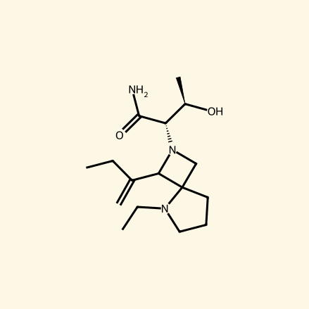 C=C(CC)C1N([C@H](C(N)=O)[C@@H](C)O)CC12CCCN2CC